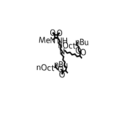 CCCCCCCCC(CCCC)COC(=O)C(C)CCCCCCN(CCCCCCC(C)C(=O)OCC(CCCC)CCCCCCCC)CCCNc1c(NC)c(=O)c1=O